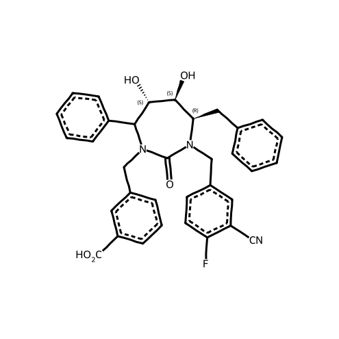 N#Cc1cc(CN2C(=O)N(Cc3cccc(C(=O)O)c3)C(c3ccccc3)[C@H](O)[C@@H](O)[C@H]2Cc2ccccc2)ccc1F